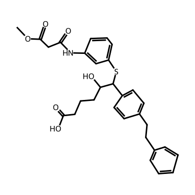 COC(=O)CC(=O)Nc1cccc(SC(c2ccc(CCc3ccccc3)cc2)C(O)CCCC(=O)O)c1